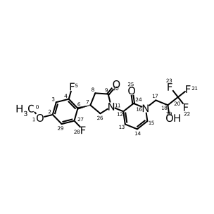 COc1cc(F)c([C@H]2CC(=O)N(c3cccn(CC(O)C(F)(F)F)c3=O)C2)c(F)c1